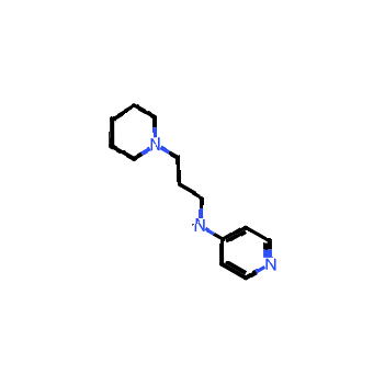 c1cc([N]CCCN2CCCCC2)ccn1